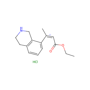 CCOC(=O)/C=C(/C)c1cccc2c1CNCC2.Cl